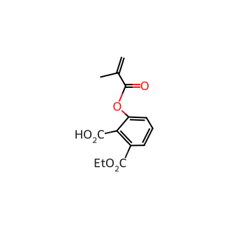 C=C(C)C(=O)Oc1cccc(C(=O)OCC)c1C(=O)O